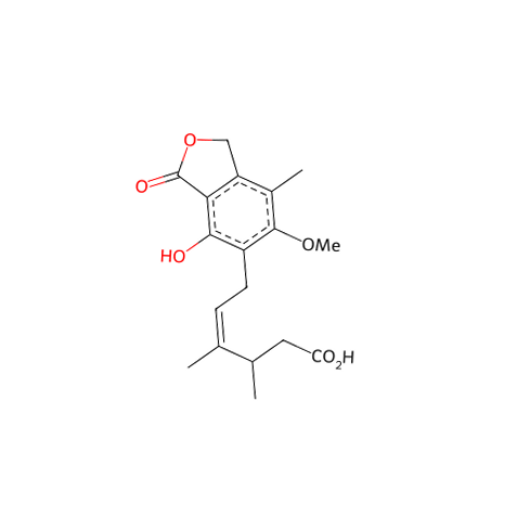 COc1c(C)c2c(c(O)c1CC=C(C)C(C)CC(=O)O)C(=O)OC2